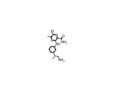 CCc1nc(C(N)=O)c(Nc2cccc([C@H](C)CN)c2)nc1C